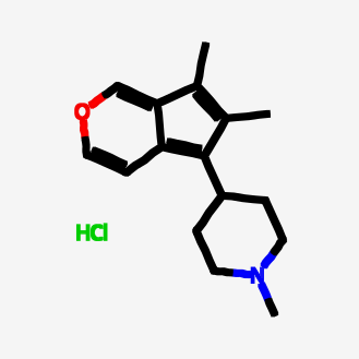 Cc1c2coccc-2c(C2CCN(C)CC2)c1C.Cl